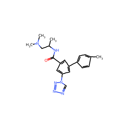 Cc1ccc(-c2cc(C(=O)NC(C)CN(C)C)cc(-n3cnnn3)c2)cc1